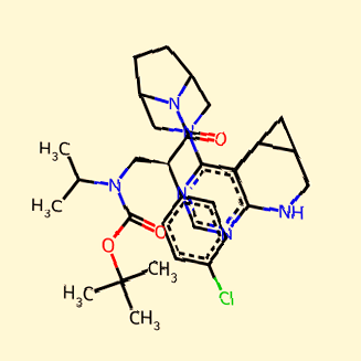 CC(C)N(C[C@@H](C(=O)N1C2CCC1CN(c1ncnc3c1C1CC1CN3)C2)c1ccc(Cl)cc1)C(=O)OC(C)(C)C